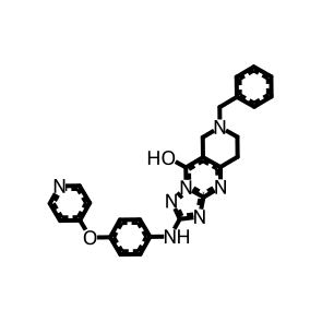 Oc1c2c(nc3nc(Nc4ccc(Oc5ccncc5)cc4)nn13)CCN(Cc1ccccc1)C2